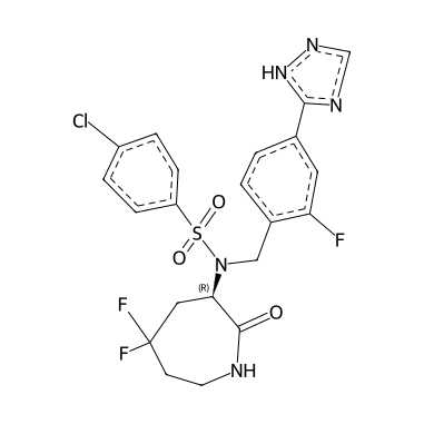 O=C1NCCC(F)(F)C[C@H]1N(Cc1ccc(-c2ncn[nH]2)cc1F)S(=O)(=O)c1ccc(Cl)cc1